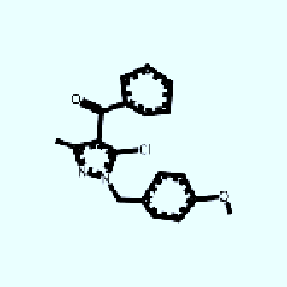 COc1ccc(Cn2nc(C)c(C(=O)c3ccccc3)c2Cl)cc1